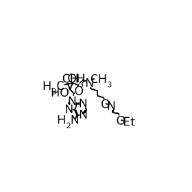 CCOCC=NOCCCCN(C)C[C@H]1O[C@@H](n2cnc3c(N)ncnc32)[C@@]2(O)C(C)(C)[C@@]12O